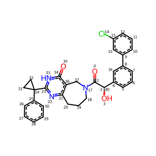 O=C([C@H](O)c1cccc(-c2cccc(Cl)c2)c1)N1CCCc2nc(C3(c4ccccc4)CC3)[nH]c(=O)c2C1